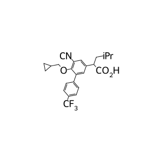 [C-]#[N+]c1cc(C(CC(C)C)C(=O)O)cc(-c2ccc(C(F)(F)F)cc2)c1OCC1CC1